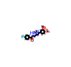 COc1ccc(-c2cc(/C=C/C(=O)c3ccc(F)cc3)[nH]n2)cc1OC